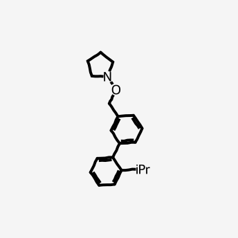 CC(C)c1ccccc1-c1cccc(CON2CCCC2)c1